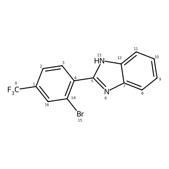 FC(F)(F)c1ccc(-c2nc3ccccc3[nH]2)c(Br)c1